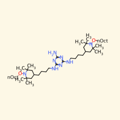 CCCCCCCCON1C(C)(C)CC(CCCCNc2nc(N)nc(NCCCCC3CC(C)(C)N(OCCCCCCCC)C(C)(C)C3)n2)CC1(C)C